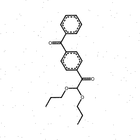 CCCOC(OCCC)C(=O)c1ccc(C(=O)c2ccccc2)cc1